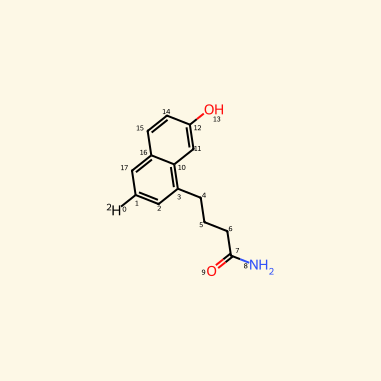 [2H]c1cc(CCCC(N)=O)c2cc(O)ccc2c1